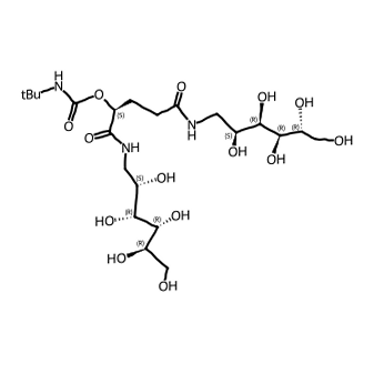 CC(C)(C)NC(=O)O[C@@H](CCC(=O)NC[C@H](O)[C@@H](O)[C@H](O)[C@H](O)CO)C(=O)NC[C@H](O)[C@@H](O)[C@H](O)[C@H](O)CO